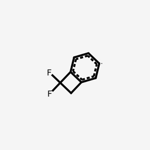 FC1(F)Cc2c[c]ccc21